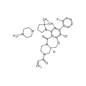 C=CC(=O)N1CCN2C(=O)c3c(N4C[C@H](N5CCN(C)CC5)CC4(C)C)nc(-c4ccccc4F)c(Cl)c3OC[C@H]2C1